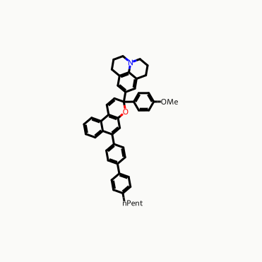 CCCCCc1ccc(-c2ccc(-c3cc4c(c5ccccc35)C=CC(c3ccc(OC)cc3)(c3cc5c6c(c3)CCCN6CCC5)O4)cc2)cc1